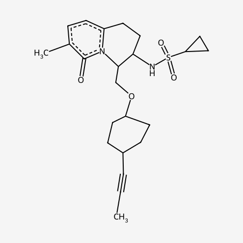 CC#CC1CCC(OCC2C(NS(=O)(=O)C3CC3)CCc3ccc(C)c(=O)n32)CC1